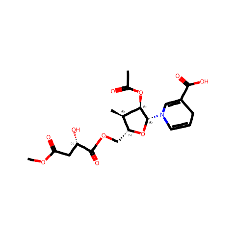 COC(=O)C[C@H](O)C(=O)OC[C@H]1O[C@@H](N2C=CCC(C(=O)O)=C2)[C@H](OC(C)=O)[C@@H]1C